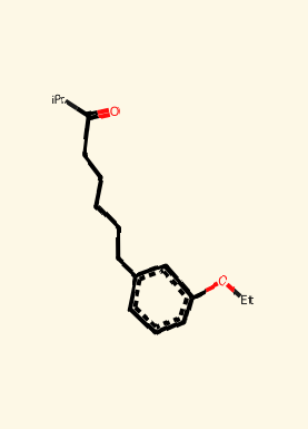 CCOc1cccc(CCCCCC(=O)C(C)C)c1